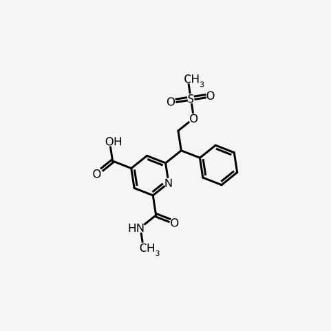 CNC(=O)c1cc(C(=O)O)cc(C(COS(C)(=O)=O)c2ccccc2)n1